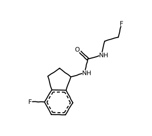 O=C(NCCF)NC1CCc2c(F)cccc21